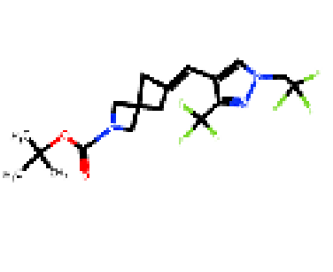 CC(C)(C)OC(=O)N1CC2(CC(=Cc3cn(CC(F)(F)F)nc3C(F)(F)F)C2)C1